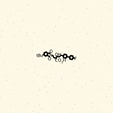 CC(C)(C)c1ccc2c(c1)C(=O)N(CC[C@H](C(=O)O)[C@H](O)CCc1ccc(-c3ccc(F)cc3)cc1)C2=O